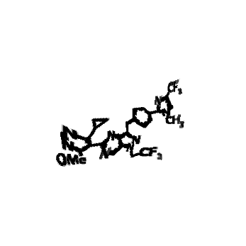 COc1ncnc(C2CC2)c1-c1ncc2c(n1)c(Cc1ccc(-c3nc(C(F)(F)F)cn3C)cc1)nn2CC(F)(F)F